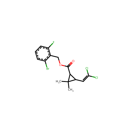 CC1(C)C(C=C(Cl)Cl)C1C(=O)OCc1c(F)cccc1Br